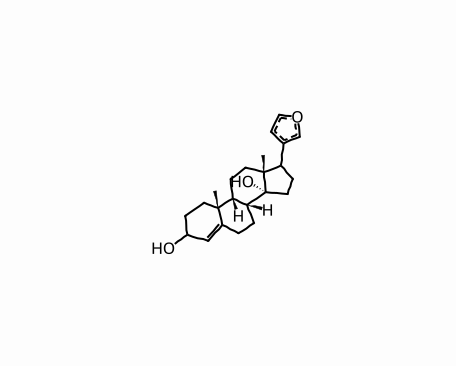 C[C@]12CCC(O)C=C1CC[C@@H]1[C@H]2CC[C@]2(C)C(c3ccoc3)CC[C@@]12O